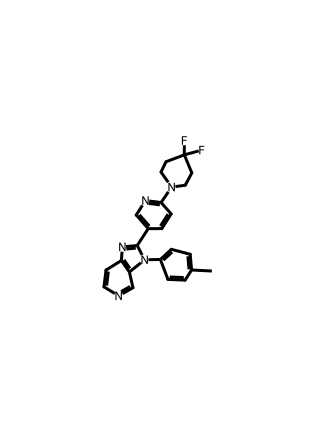 Cc1ccc(-n2c(-c3ccc(N4CCC(F)(F)CC4)nc3)nc3ccncc32)cc1